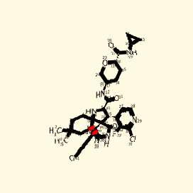 CC1(C)CCC2(CC1)N[C@@H](C(=O)N[C@@H]1CC[C@@H](C(=O)NC3CC3)OC1)[C@H](c1ccnc(Cl)c1F)[C@]21C(=O)Nc2nc(Cl)ccc21